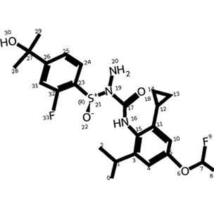 CC(C)c1cc(OC(F)F)cc(C2CC2)c1NC(=O)N(N)[S@@+]([O-])c1ccc(C(C)(C)O)cc1F